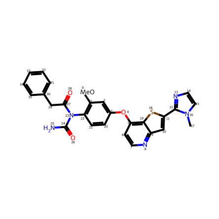 COc1cc(Oc2ccnc3cc(-c4nccn4C)sc23)ccc1N(C(N)=O)C(=O)Cc1ccccc1